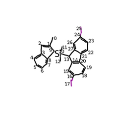 CC1=Cc2ccccc2C1[Si](C)(C)C1c2cc(I)ccc2-c2ccc(I)cc21